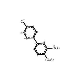 COc1ccc(-c2ccc(Cl)nn2)cc1OCC(C)C